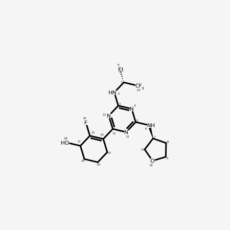 CC[C@@H](Nc1nc(N[C@H]2CCOC2)nc(C2=C(F)C(O)CCC2)n1)C(F)(F)F